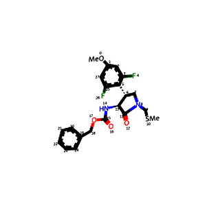 COc1cc(F)c([C@@H]2CN(CSC)C(=O)[C@H]2NC(=O)OCc2ccccc2)c(F)c1